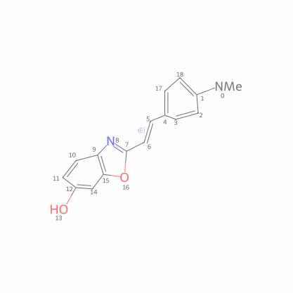 CNc1ccc(/C=C/c2nc3ccc(O)cc3o2)cc1